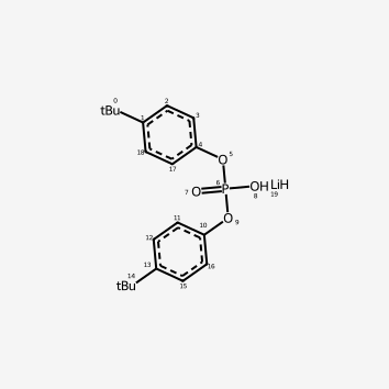 CC(C)(C)c1ccc(OP(=O)(O)Oc2ccc(C(C)(C)C)cc2)cc1.[LiH]